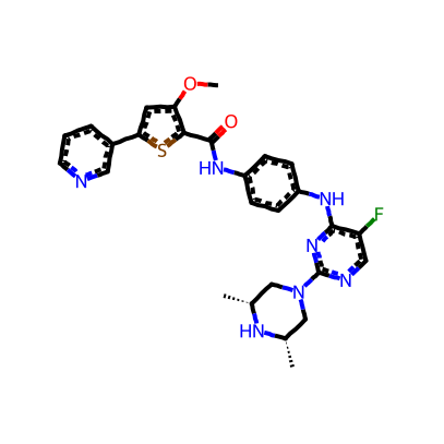 COc1cc(-c2cccnc2)sc1C(=O)Nc1ccc(Nc2nc(N3C[C@@H](C)N[C@@H](C)C3)ncc2F)cc1